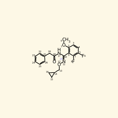 COc1ccc(F)c(F)c1/C(=N/OCC1CC1)NC(=O)Cc1ccccc1